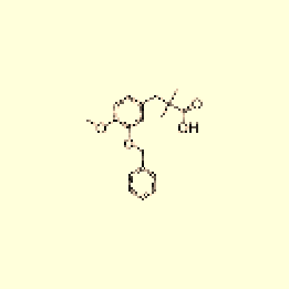 COc1ccc(CC(C)(C)C(=O)O)cc1OCc1ccccc1